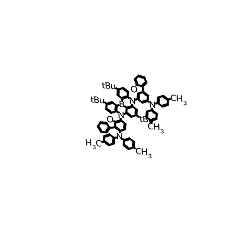 Cc1ccc(N(c2ccc(C)cc2)c2cc(N3c4ccc(C(C)(C)C)cc4B4c5cc(C(C)(C)C)ccc5N(c5ccc(N(c6ccc(C)cc6)c6ccc(C)cc6)c6c5oc5ccccc56)c5cc(C(C)(C)C)cc3c54)c3oc4ccccc4c3c2)cc1